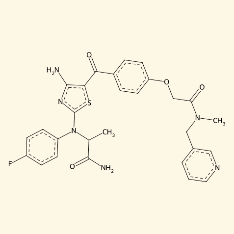 CC(C(N)=O)N(c1ccc(F)cc1)c1nc(N)c(C(=O)c2ccc(OCC(=O)N(C)Cc3cccnc3)cc2)s1